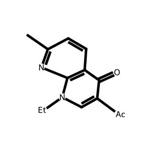 CCn1cc(C(C)=O)c(=O)c2ccc(C)nc21